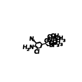 CC(C)(C)[Si](C)(C)O[C@@H](CBr)c1cc(Cl)c(N)c(C#N)c1